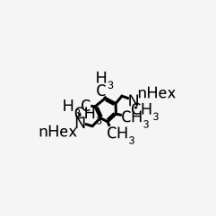 CCCCCCN(C)Cc1c(C)c(C)c(CN(C)CCCCCC)c(C)c1C